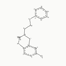 Clc1ccc2c(n1)CC(CCCc1ccccc1)NC2